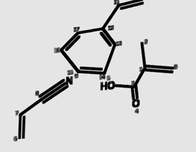 C=C(C)C(=O)O.C=CC#N.C=Cc1ccccc1